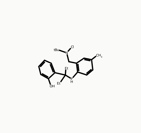 CCC(CC)(Pc1ccc(C)cc1CN(Cl)C(C)(C)C)c1ccccc1O